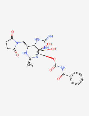 C=C1N[C@@H](CN2C(=O)CCC2=O)C2NC(=N)NC23N1C[C@H](OC(=O)NC(=O)c1ccccc1)C3(O)O